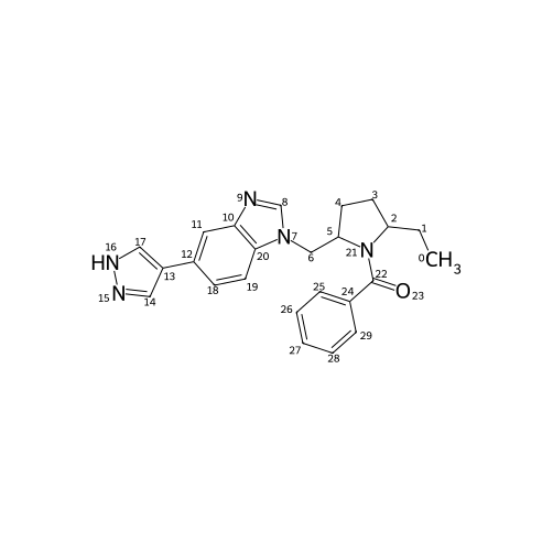 CCC1CCC(Cn2cnc3cc(-c4cn[nH]c4)ccc32)N1C(=O)c1ccccc1